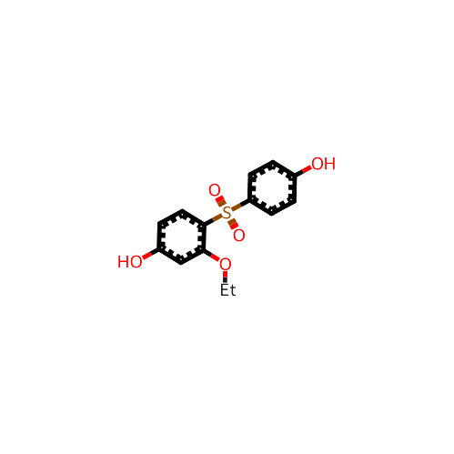 CCOc1cc(O)ccc1S(=O)(=O)c1ccc(O)cc1